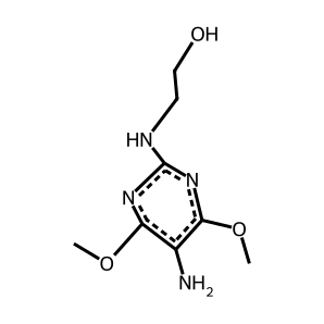 COc1nc(NCCO)nc(OC)c1N